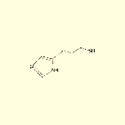 SCCCc1cnc[nH]1